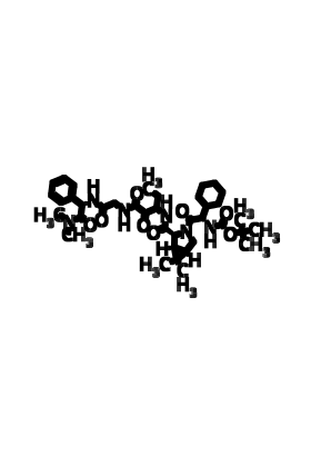 CCC(NC(=O)[C@@H]1[C@@H]2[C@H](CN1C(=O)[C@@H](NC(=O)OC(C)(C)C)C1CCCCC1)C2(C)C)C(=O)C(=O)NCC(=O)N[C@H](C(=O)N(C)C)c1ccccc1